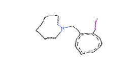 Ic1ccccc1CN1CCCCC1